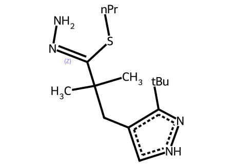 CCCS/C(=N\N)C(C)(C)Cc1c[nH]nc1C(C)(C)C